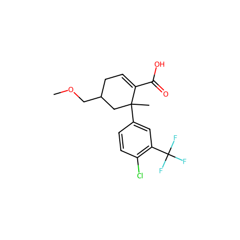 COCC1CC=C(C(=O)O)C(C)(c2ccc(Cl)c(C(F)(F)F)c2)C1